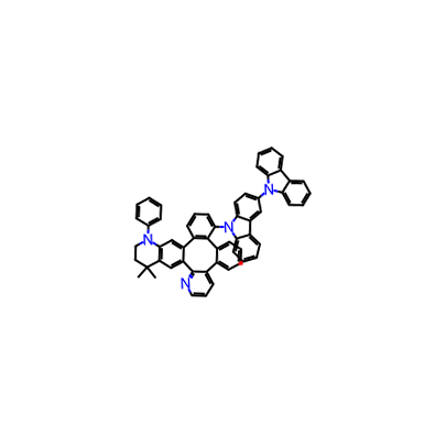 CC1(C)CCN(c2ccccc2)c2cc3c(cc21)-c1ncccc1-c1ccccc1-c1c-3cccc1-n1c2ccccc2c2cc(-n3c4ccccc4c4ccccc43)ccc21